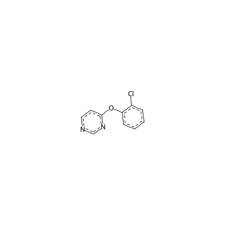 Clc1ccccc1Oc1ccncn1